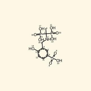 CC(NCc1cc(S(=O)(=O)O)ccc1O)(P(=O)(O)O)P(=O)(O)O